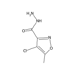 Cc1onc(C(=O)NN)c1Cl